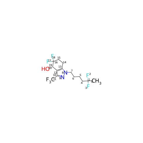 CC(F)(F)CCCCn1nc(C(F)(F)F)c2c1CCC(F)(F)[C@H]2O